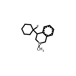 CN1Cc2ccccc2C(C2(F)CCCCC2)C1